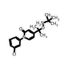 CC(C)(C)[SiH2]OC(C)(C)c1ccn(-c2cccc(Cl)c2)c(=O)c1